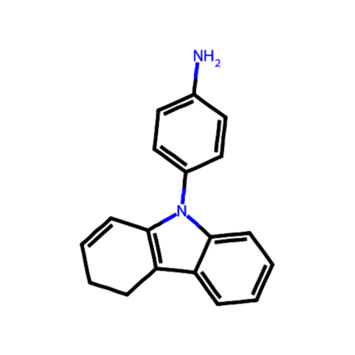 Nc1ccc(-n2c3c(c4ccccc42)CCC=C3)cc1